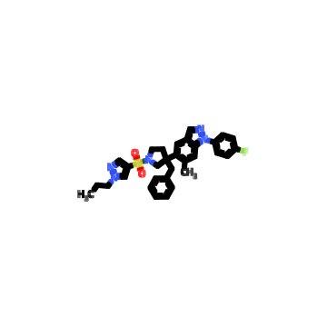 CCCn1cc(S(=O)(=O)N2CCC(Cc3ccccc3)(c3cc4cnn(-c5ccc(F)cc5)c4cc3C)C2)cn1